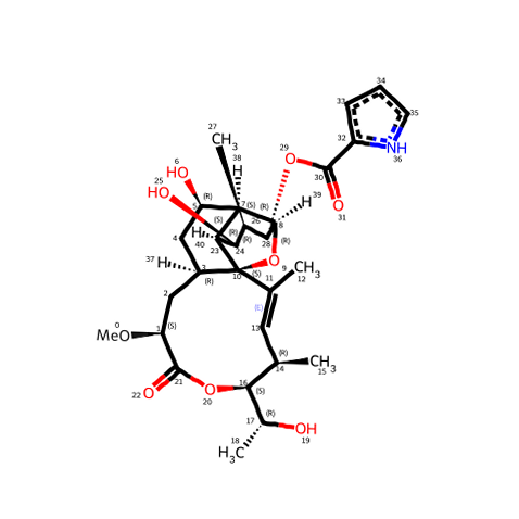 CO[C@H]1C[C@H]2C[C@@H](O)[C@H]3[C@H]4O[C@]2(/C(C)=C/[C@@H](C)[C@@H]([C@@H](C)O)OC1=O)[C@@H]3[C@H](O)[C@@H](C)[C@H]4OC(=O)c1ccc[nH]1